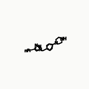 [CH2]CCc1cn(Cc2ccc(N3CCNCC3)cc2)nn1